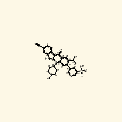 C#Cc1ccc2c(c1)[nH]c1c2c(=O)c2cc(C(C)C)c(-c3cncc(S(=O)(=O)F)c3)cc2n1C1CCN(C)CC1